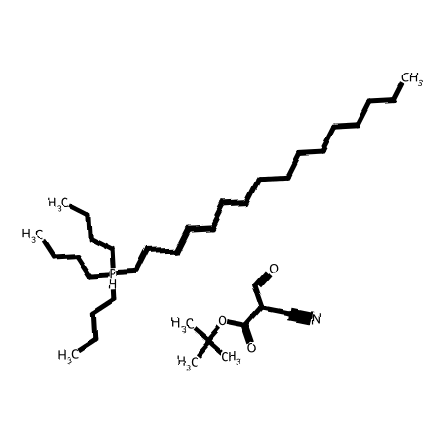 CC(C)(C)OC(=O)C(C#N)C=O.CCCCCCCCCCCCCCCC[PH](CCCC)(CCCC)CCCC